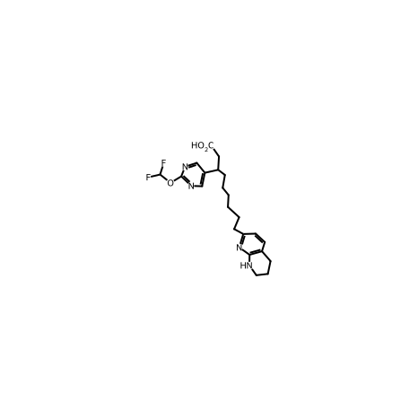 O=C(O)CC(CCCCCCc1ccc2c(n1)NCCC2)c1cnc(OC(F)F)nc1